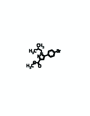 COC(=O)c1cc(-c2ccc(Br)cc2)n(CC(C)C)n1